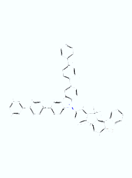 CC1(C)c2cc(-n3c4ccc(-c5ccc(-c6ccccc6)cc5)cc4c4cc(-c5ccc(-c6ccccc6)cc5)ccc43)ccc2-c2ccc3sc4ccccc4c3c21